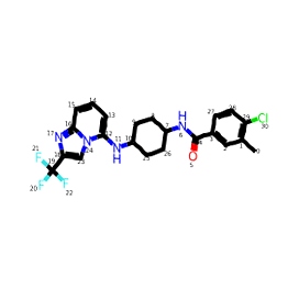 Cc1cc(C(=O)NC2CCC(Nc3cccc4nc(C(F)(F)F)cn34)CC2)ccc1Cl